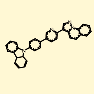 C1=CC2c3ccccc3N(c3ccc(-c4ccc(-c5cnn6c5ccc5ccccc56)nc4)cc3)C2C=C1